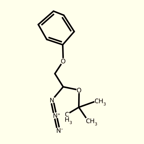 CC(C)(C)OC(COc1ccccc1)N=[N+]=[N-]